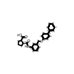 O=C(O)C1CCC[C@@H]1C(=O)Nc1cccc(COc2ccc(-c3ccccc3)cc2)c1